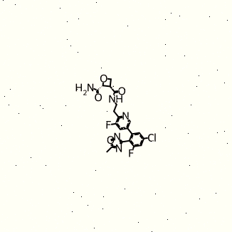 Cc1nc(-c2c(F)cc(Cl)cc2-c2cnc(CCNC(=O)[C]3CO[C@H]3C(N)=O)c(F)c2)no1